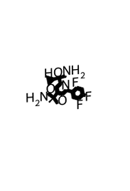 C[C@]1(C(N)=O)COc2c1cc(C(O)(CN)C1CC1)nc2-c1cc(F)c(F)cc1F